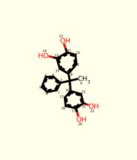 CC(c1ccccc1)(c1ccc(O)c(O)c1)c1ccc(O)c(O)c1